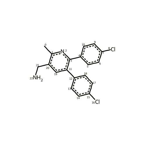 Cc1nc(-c2ccc(Cl)cc2)c(-c2ccc(Cl)cc2)cc1CN